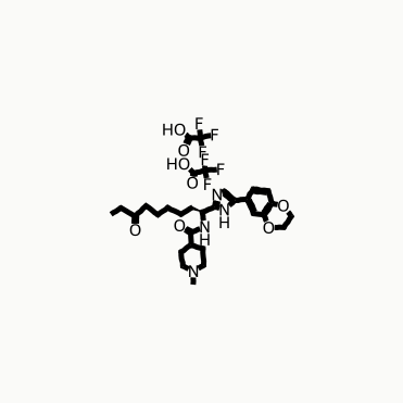 CCC(=O)CCCCC[C@H](NC(=O)C1CCN(C)CC1)c1ncc(-c2ccc3c(c2)OCCO3)[nH]1.O=C(O)C(F)(F)F.O=C(O)C(F)(F)F